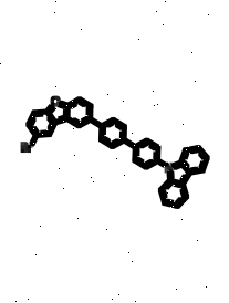 Brc1ccc2oc3ccc(-c4ccc(-c5ccc(-n6c7ccccc7c7ccccc76)cc5)cc4)cc3c2c1